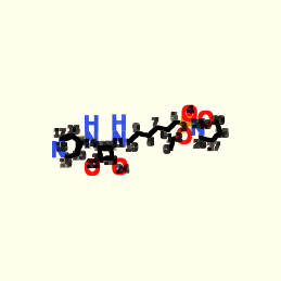 CCOP(=O)(CCCCCCNc1c(Nc2ccncc2)c(=O)c1=O)N1CCCCO1